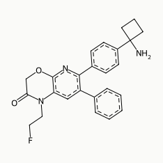 NC1(c2ccc(-c3nc4c(cc3-c3ccccc3)N(CCF)C(=O)CO4)cc2)CCC1